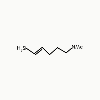 CNCCCC=C[SiH3]